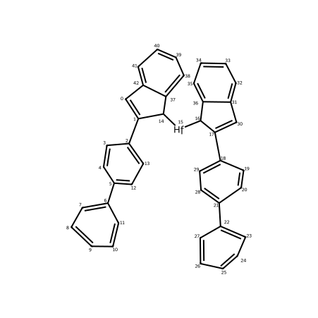 C1=C(c2ccc(-c3ccccc3)cc2)[CH]([Hf][CH]2C(c3ccc(-c4ccccc4)cc3)=Cc3ccccc32)c2ccccc21